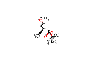 C#CC(CCOC)CC(=O)OC(C)(C)C